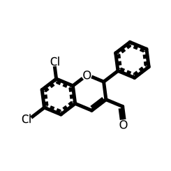 O=CC1=Cc2cc(Cl)cc(Cl)c2OC1c1ccccc1